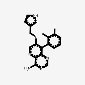 Cc1c(Cl)cccc1-c1c(OCc2cc[nH]n2)cnc2c(N)ncnc12